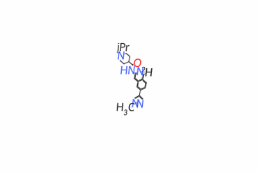 [2H]c1nc(NC(=O)C2CCN(CC(C)C)CC2)cc2cc(-c3cnn(C)c3)ccc12